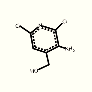 Nc1c(CO)cc(Cl)nc1Cl